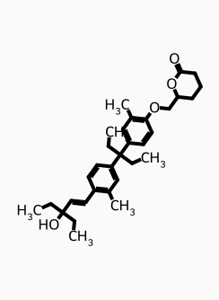 CCC(O)(C=Cc1ccc(C(CC)(CC)c2ccc(OCC3CCCC(=O)O3)c(C)c2)cc1C)CC